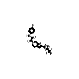 O=C(Nc1ccc(F)cc1)C(=O)N1CCc2cc(-c3noc(C(F)(F)F)n3)sc2C1